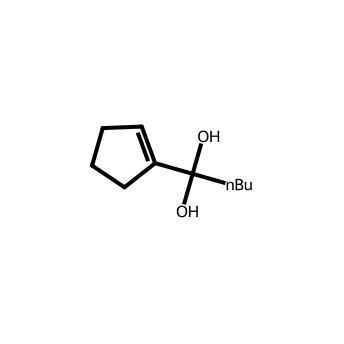 CCCCC(O)(O)C1=CCCC1